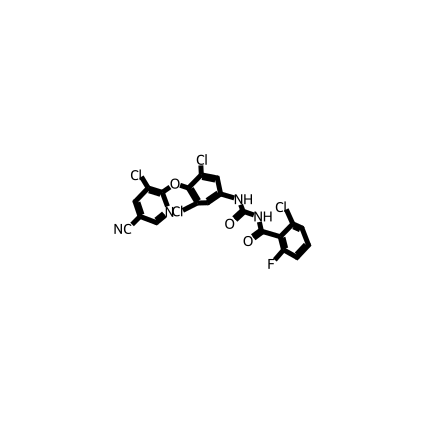 N#Cc1cnc(Oc2c(Cl)cc(NC(=O)NC(=O)c3c(F)cccc3Cl)cc2Cl)c(Cl)c1